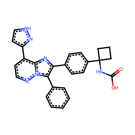 O=C(O)NC1(c2ccc(-c3nc4c(-c5cc[nH]n5)ccnn4c3-c3ccccc3)cc2)CCC1